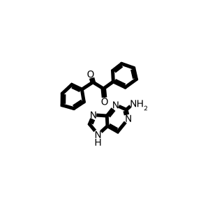 Nc1ncc2[nH]cnc2n1.O=C(C(=O)c1ccccc1)c1ccccc1